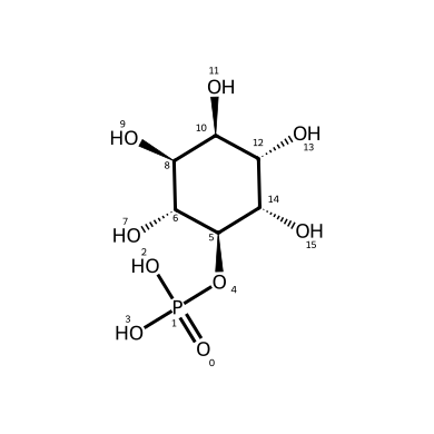 O=P(O)(O)O[C@H]1[C@H](O)[C@@H](O)[C@@H](O)[C@H](O)[C@@H]1O